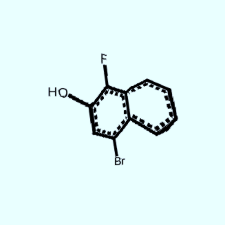 Oc1cc(Br)c2ccccc2c1F